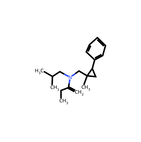 C=C(CC)N(CC(C)C)CC1(C)CC1c1ccccc1